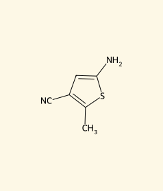 Cc1sc(N)cc1C#N